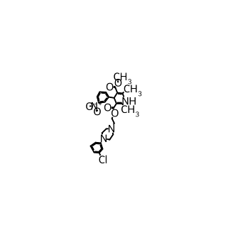 COC(=O)C1=C(C)NC(C)=C(C(=O)OCCN2CCN(c3cccc(Cl)c3)CC2)C1c1cccc([N+](=O)[O-])c1